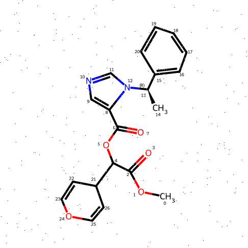 COC(=O)C(OC(=O)c1cncn1[C@H](C)c1ccccc1)C1C=COC=C1